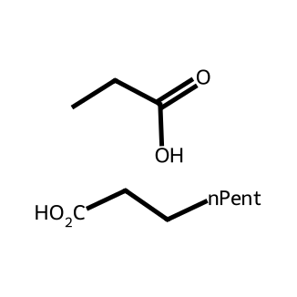 CCC(=O)O.CCCCCCCC(=O)O